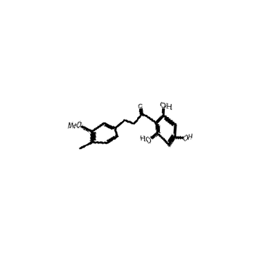 COc1cc(CCC(=O)c2c(O)cc(O)cc2O)ccc1C